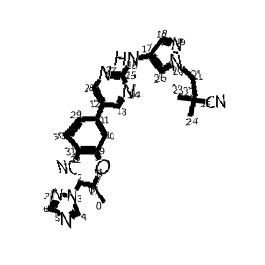 C[C@@H](Cn1cncn1)Oc1cc(-c2cnc(Nc3cnn(CC(C)(C)C#N)c3)nc2)ccc1C#N